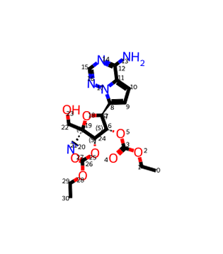 CCOC(=O)O[C@H]1[C@H](c2ccc3c(N)ncnn23)O[C@](C#N)(CO)[C@H]1OC(=O)OCC